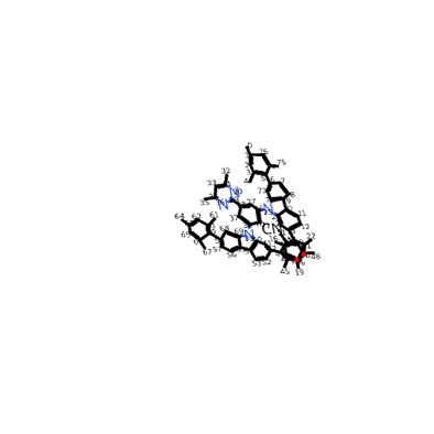 Cc1cc(C)c(-c2ccc3c4ccc(-c5c(C)cc(C)cc5C)cc4n(-c4cc(-c5nc(C)cc(C)n5)cc(-n5c6cc(-c7c(C)cc(C)cc7C)ccc6c6ccc(-c7c(C)cc(C)cc7C)cc65)c4C#N)c3c2)c(C)c1